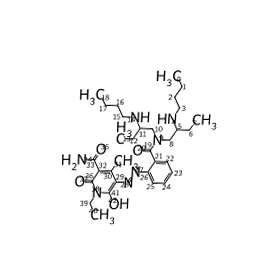 CCCCNC(CC)CN(CC(CC)NCCCC)C(=O)c1ccccc1/N=N/c1c(C)c(C(N)=O)c(=O)n(CC)c1O